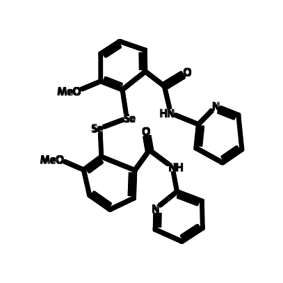 COc1cccc(C(=O)Nc2ccccn2)c1[Se][Se]c1c(OC)cccc1C(=O)Nc1ccccn1